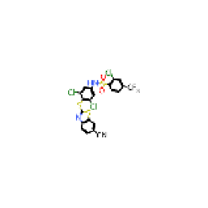 N#Cc1ccc2nc(Sc3c(Cl)cc(NS(=O)(=O)c4ccc(C(F)(F)F)cc4Cl)cc3Cl)sc2c1